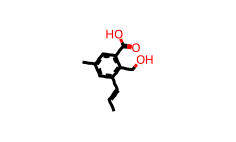 CC=Cc1cc(C)cc(C(=O)O)c1CO